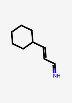 N=C/C=C/C1CCCCC1